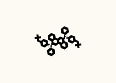 CC(C)(C)Cc1ccc(N(c2ccccc2)c2cc3c4ccccc4c(N(c4ccccc4)c4ccc(CC(C)(C)C)cc4)cc3c3ccccc23)cc1